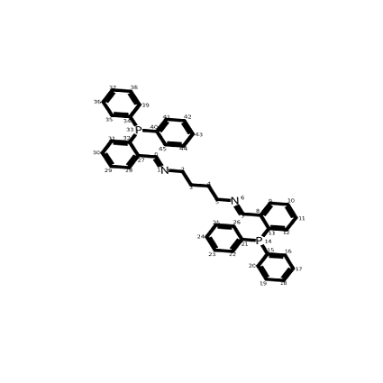 C(=NCCCCN=Cc1ccccc1P(c1ccccc1)c1ccccc1)c1ccccc1P(c1ccccc1)c1ccccc1